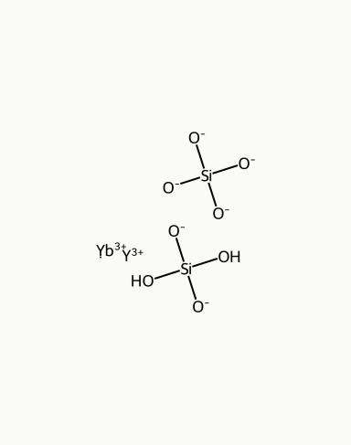 [O-][Si]([O-])(O)O.[O-][Si]([O-])([O-])[O-].[Y+3].[Yb+3]